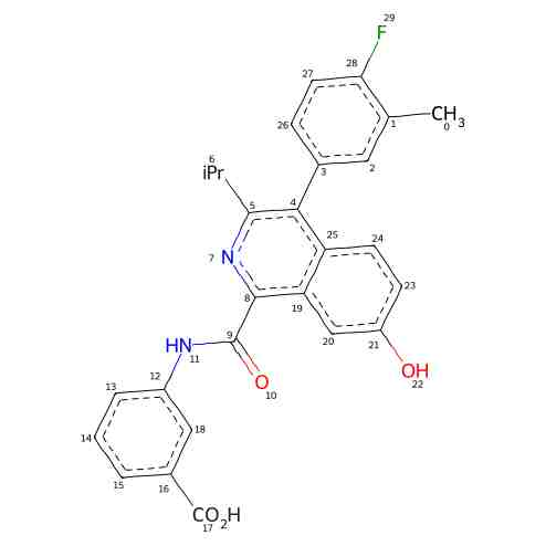 Cc1cc(-c2c(C(C)C)nc(C(=O)Nc3cccc(C(=O)O)c3)c3cc(O)ccc23)ccc1F